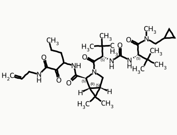 C=CCNC(=O)C(=O)C(CCC)NC(=O)[C@@H]1[C@@H]2[C@H](CN1C(=O)[C@@H](NC(=O)N[C@H](C(=O)N(C)CC1CC1)C(C)(C)C)C(C)(C)C)C2(C)C